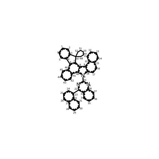 c1ccc2c(c1)-c1c(c3c4c5ccccc5ccc4n(-c4nc(-c5cccc6ccccc56)c5ccccc5n4)c3c3ccccc13)C21CCCCC1